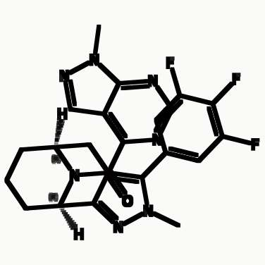 Cn1nc2c(c1-c1cc(F)c(F)c(F)c1)C[C@@H]1CCC[C@H]2N1C(=O)c1ncnc2c1cnn2C